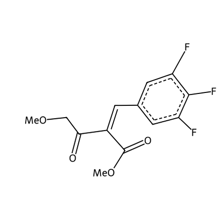 COCC(=O)/C(=C/c1cc(F)c(F)c(F)c1)C(=O)OC